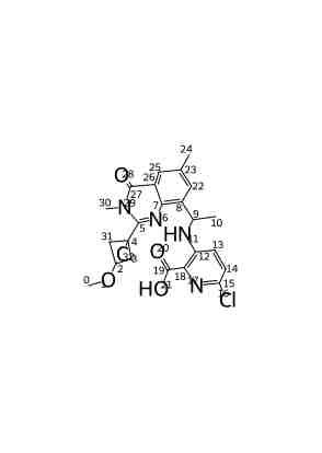 COC12CC(c3nc4c(C(C)Nc5ccc(Cl)nc5C(=O)O)cc(C)cc4c(=O)n3C)(C1)C2